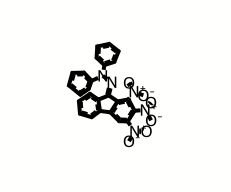 O=[N+]([O-])c1cc2c(c([N+](=O)[O-])c1[N+](=O)[O-])C(=NN(c1ccccc1)c1ccccc1)c1ccccc1-2